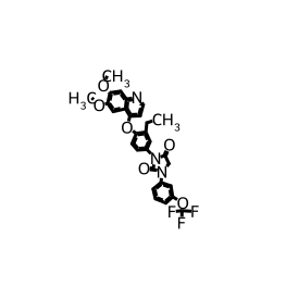 CCc1cc(N2C(=O)CN(c3cccc(OC(F)(F)F)c3)C2=O)ccc1Oc1ccnc2cc(OC)c(OC)cc12